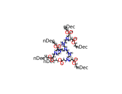 CCCCCCCCCCCCOC(=O)CCN(CCC(=O)OCCCCCCCCCCCC)CCN(C)CCN(CCN(C)CCN(CCC(=O)OCCCCCCCCCCCC)CCC(=O)OCCCCCCCCCCCC)CCN(C)CCN(CCC(=O)OCCCCCCCCCCCC)CCC(=O)OCCCCCCCCCCCC